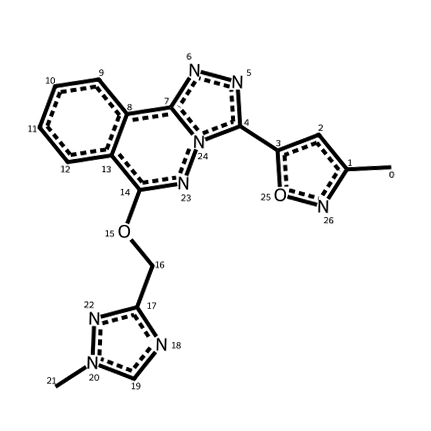 Cc1cc(-c2nnc3c4ccccc4c(OCc4ncn(C)n4)nn23)on1